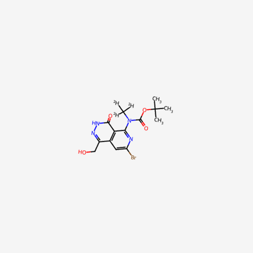 [2H]C([2H])([2H])N(C(=O)OC(C)(C)C)c1nc(Br)cc2c(CO)n[nH]c(=O)c12